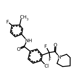 Cc1cc(NC(=O)c2ccc(Cl)c(C(F)(F)C(=O)N3CCCCC3)c2)ccc1F